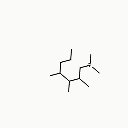 CCCC(C)C(C)C(C)CP(C)C